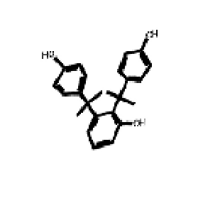 CC(C)(c1ccc(O)cc1)c1cccc(O)c1C(C)(C)c1ccc(O)cc1